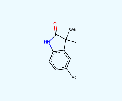 CSC1(C)C(=O)Nc2ccc(C(C)=O)cc21